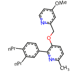 CCCc1ccc(-c2nc(C)ccc2OCc2cc(OC)ccn2)cc1CCC